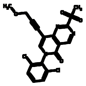 COCC#Cc1cn(-c2c(Cl)cccc2Cl)c(=O)c2cnc(S(C)(=O)=O)nc12